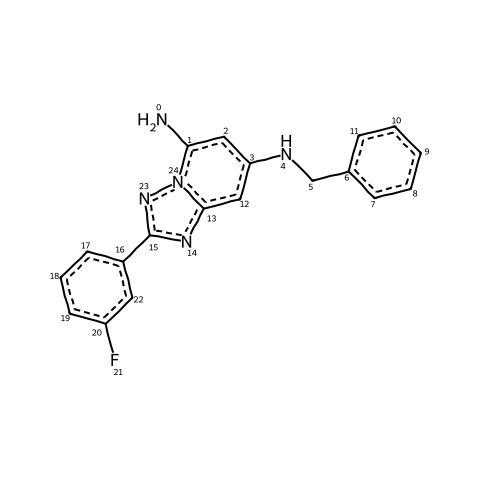 Nc1cc(NCc2ccccc2)cc2nc(-c3cccc(F)c3)nn12